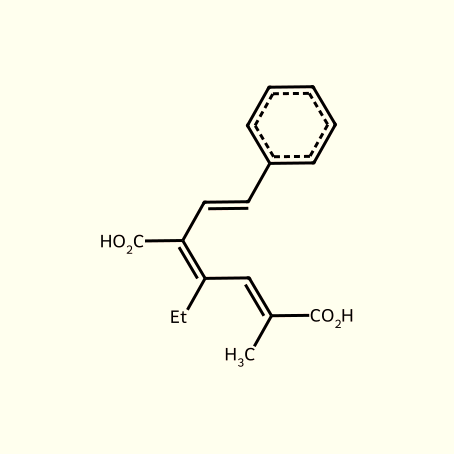 CCC(C=C(C)C(=O)O)=C(C=Cc1ccccc1)C(=O)O